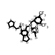 CCN(CC1CCCC1)c1cc2c(cc1CN(Cc1cc(C(F)(F)F)cc(C(F)(F)F)c1)c1nnc(C)s1)CCC2